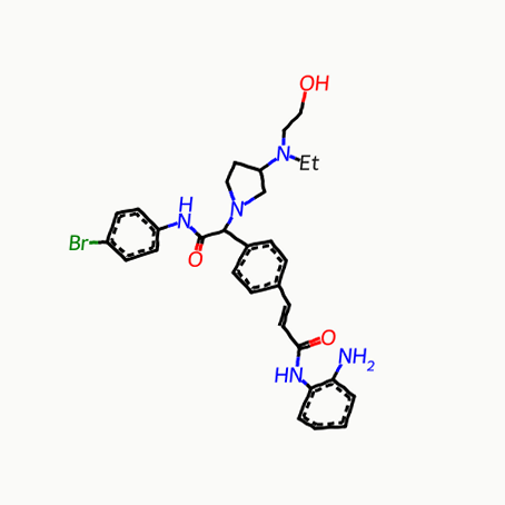 CCN(CCO)C1CCN(C(C(=O)Nc2ccc(Br)cc2)c2ccc(C=CC(=O)Nc3ccccc3N)cc2)C1